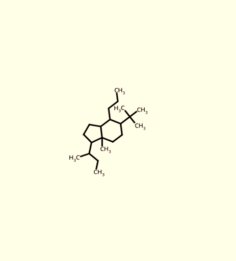 CCCC1C(C(C)(C)C)CCC2(C)C(C(C)CC)CCC12